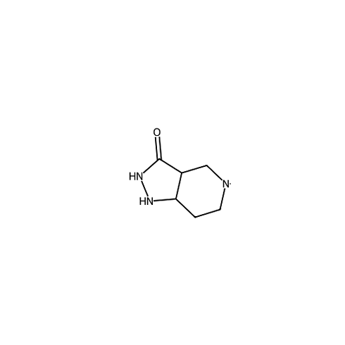 O=C1NNC2CC[N]CC12